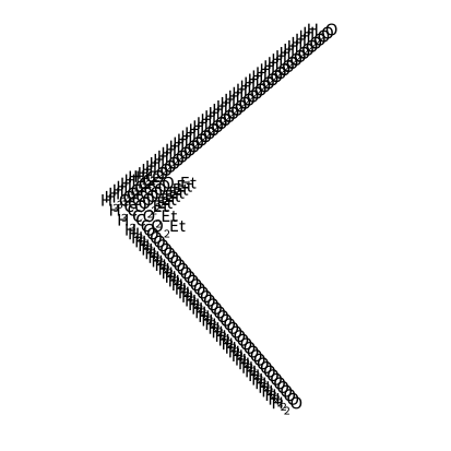 CCOC(C)=O.CCOC(C)=O.CCOC(C)=O.CCOC(C)=O.CCOC(C)=O.CCOC(C)=O.CCOC(C)=O.CCOC(C)=O.CCOC(C)=O.CCOC(C)=O.O.O.O.O.O.O.O.O.O.O.O.O.O.O.O.O.O.O.O.O.O.O.O.O.O.O.O.O.O.O.O.O.O.O.O.O.O.O.O.O.O.O.O.O.O.O.O.O.O.O.O.O.O.O.O.O.O.O.O.O.O.O.O.O.O.O.O.O.O.O.O.O.O.O.O.O.O.O.O.O.O.O.O.O.O.O.O.O.O.O